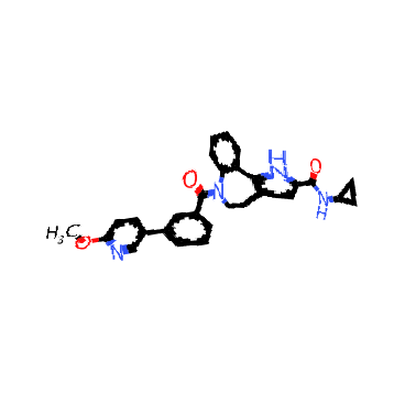 COc1ccc(-c2cccc(C(=O)N3CCc4cc(C(=O)NC5CC5)[nH]c4-c4ccccc43)c2)cn1